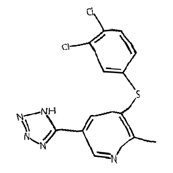 Cc1ncc(-c2nnn[nH]2)cc1Sc1ccc(Cl)c(Cl)c1